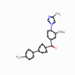 COc1cc(C(=O)c2ccc(-c3ccc(C)cc3)cc2)ccc1-n1cnc(C)c1